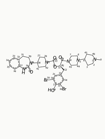 CN1CCC(N2CCN(C(=O)[C@@H](Cc3cc(Br)c(O)c(Br)c3)OC(=O)N3CCC(N4CCc5ccccc5NC4=O)CC3)CC2)CC1